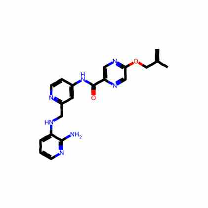 C=C(C)COc1cnc(C(=O)Nc2ccnc(CNc3cccnc3N)c2)cn1